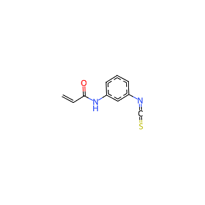 C=CC(=O)Nc1cccc(N=C=S)c1